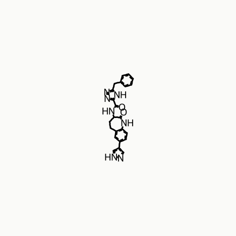 O=C(NC1CCc2cc(-c3cn[nH]c3)ccc2NC1=O)c1nnc(Cc2ccccc2)[nH]1